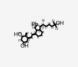 C=C1C(=CC=C2CCC[C@@]3(C)C2CC[C@@H]3[C@H](C)CCCC(C)(C)O)C[C@@H](O)C[C@@H]1O.[Pb]